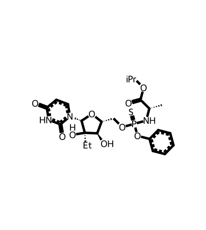 CC[C@@]1(O)[C@H](O)[C@@H](COP(=S)(N[C@@H](C)C(=O)OC(C)C)Oc2ccccc2)O[C@H]1n1ccc(=O)[nH]c1=O